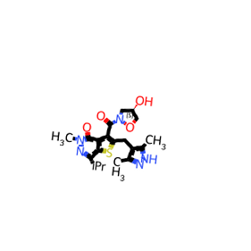 Cc1n[nH]c(C)c1Cc1sc2c(C(C)C)nn(C)c(=O)c2c1C(=O)N1C[C@H](O)CO1